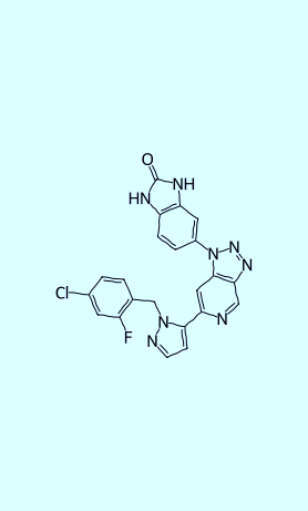 O=c1[nH]c2ccc(-n3nnc4cnc(-c5ccnn5Cc5ccc(Cl)cc5F)cc43)cc2[nH]1